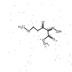 COCCC(=O)/C(=N/O)C(=O)OC